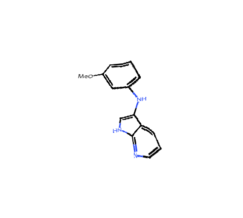 COc1cccc(Nc2c[nH]c3ncccc23)c1